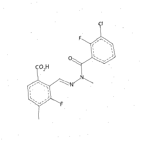 Cc1ccc(C(=O)O)c(C=NN(C)C(=O)c2cccc(Cl)c2F)c1F